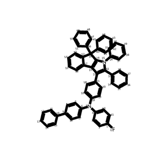 Fc1ccc(N(c2ccc(-c3ccccc3)cc2)c2ccc(-c3c4c(n(-c5ccccc5)c3-c3ccccc3)C(c3ccccc3)(c3ccccc3)c3ccccc3-4)cc2)cc1